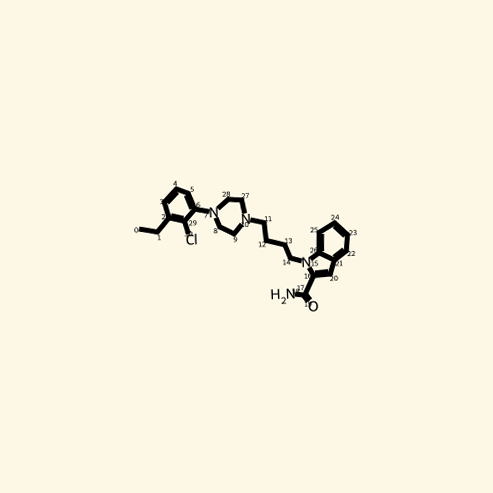 CCc1cccc(N2CCN(CCCCn3c(C(N)=O)cc4ccccc43)CC2)c1Cl